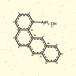 Cl.[AsH2]c1cccc2ccc3cc4ccccc4cc3c12